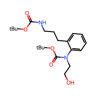 CC(C)(C)OC(=O)NCCCc1ccccc1N(CCO)C(=O)OC(C)(C)C